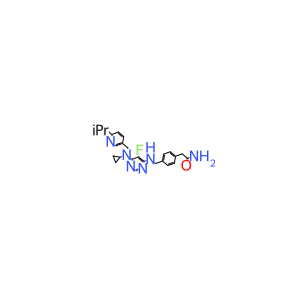 CC(C)c1ccc(CN(c2ncnc(NCc3ccc(CC(N)=O)cc3)c2F)C2CC2)cn1